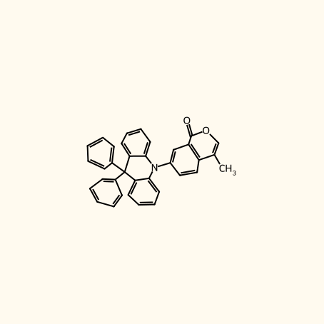 Cc1coc(=O)c2cc(N3c4ccccc4C(c4ccccc4)(c4ccccc4)c4ccccc43)ccc12